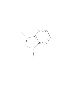 CN1[CH]N(C)c2ccccc21